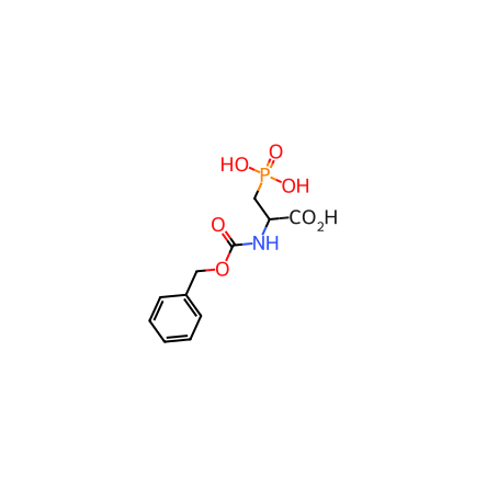 O=C(NC(CP(=O)(O)O)C(=O)O)OCc1ccccc1